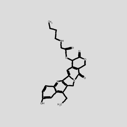 CCCCNCC(=O)OC1C(=O)OCc2c1cc1n(c2=O)Cc2c-1nc1ccc(O)cc1c2CC